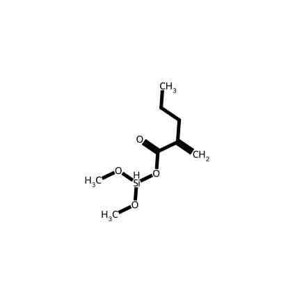 C=C(CCC)C(=O)O[SiH](OC)OC